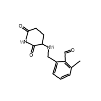 Cc1cccc(CNC2CCC(=O)NC2=O)c1C=O